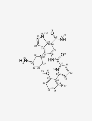 CNC(=O)c1cc(NC(=O)c2ccnc(-c3c(F)cccc3OC)n2)c(N2CCC[C@@H](N)C2)c2cnn(C)c12